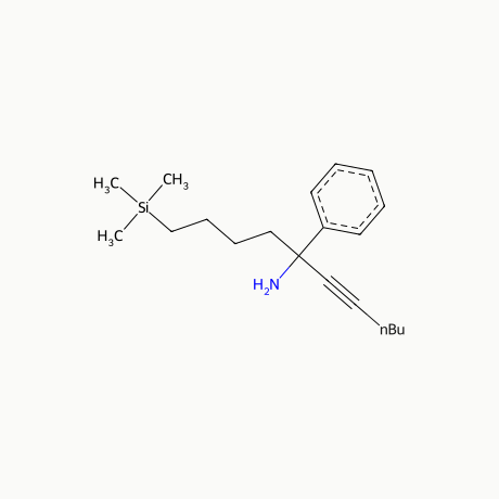 CCCCC#CC(N)(CCCC[Si](C)(C)C)c1ccccc1